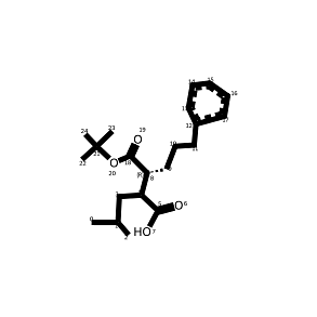 CC(C)CC(C(=O)O)[C@@H](CCCc1ccccc1)C(=O)OC(C)(C)C